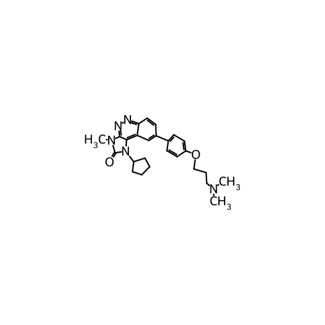 CN(C)CCCOc1ccc(-c2ccc3nnc4c(c3c2)n(C2CCCC2)c(=O)n4C)cc1